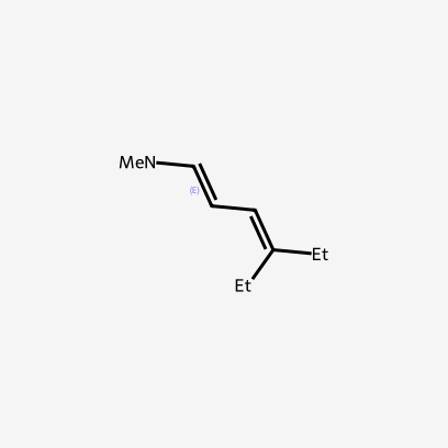 CCC(=C/C=C/NC)CC